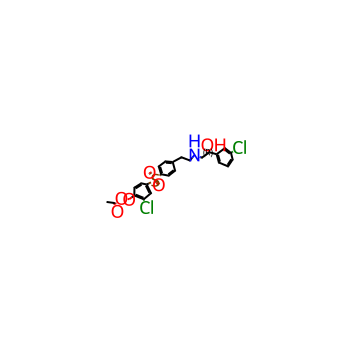 CC(=O)OOc1ccc(S(=O)(=O)c2ccc(CCNC[C@H](O)c3cccc(Cl)c3)cc2)cc1Cl